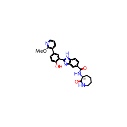 COc1ncccc1-c1ccc(O)c(-c2nc3cc(C(=O)N[C@H]4CCCCNC4=O)ccc3[nH]2)c1